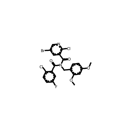 COc1ccc(CN(C(=O)c2cc(F)ccc2Cl)C(=O)c2cc(Br)cnc2Cl)c(OC)c1